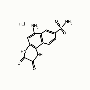 Cl.Nc1cc2[nH]c(=O)c(=O)[nH]c2c2ccc(S(N)(=O)=O)cc12